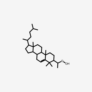 CC(C)CCC(C)C1CCC2C3CC=C4C(C)(C)C(C(C)OO)CCC4(C)C3CCC12C